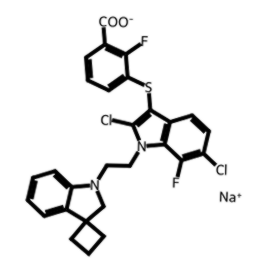 O=C([O-])c1cccc(Sc2c(Cl)n(CCN3CC4(CCC4)c4ccccc43)c3c(F)c(Cl)ccc23)c1F.[Na+]